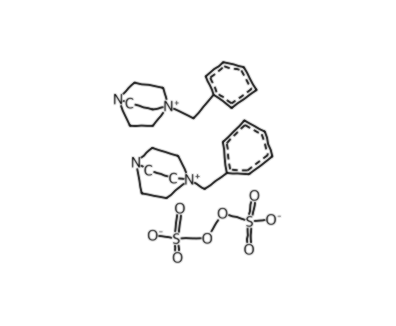 O=S(=O)([O-])OOS(=O)(=O)[O-].c1ccc(C[N+]23CCN(CC2)CC3)cc1.c1ccc(C[N+]23CCN(CC2)CC3)cc1